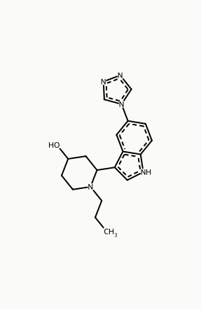 CCCN1CCC(O)CC1c1c[nH]c2ccc(-n3cnnc3)cc12